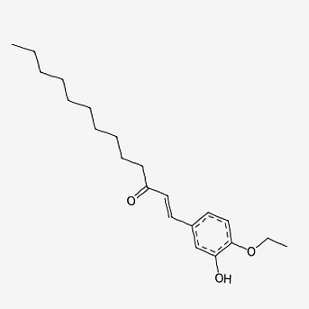 CCCCCCCCCCC(=O)/C=C/c1ccc(OCC)c(O)c1